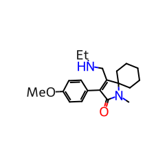 CCNCC1=C(c2ccc(OC)cc2)C(=O)N(C)C12CCCCC2